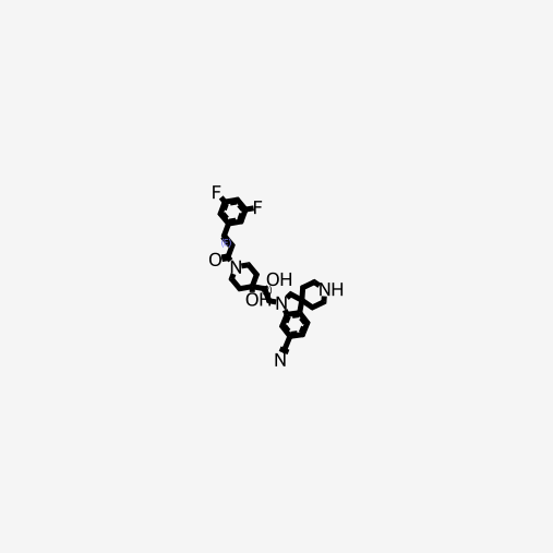 N#Cc1ccc2c(c1)N(C[C@@H](O)C1(O)CCN(C(=O)/C=C/c3cc(F)cc(F)c3)CC1)CC21CCNCC1